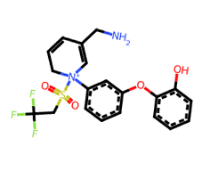 NCC1=C[N+](c2cccc(Oc3ccccc3O)c2)(S(=O)(=O)CC(F)(F)F)CC=C1